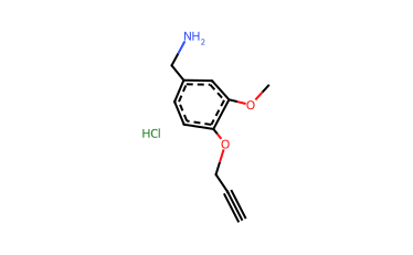 C#CCOc1ccc(CN)cc1OC.Cl